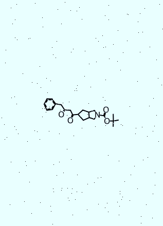 CC(C)(C)OC(=O)N1CC2CC(C(=O)CC(=O)Cc3ccccc3)CC2C1